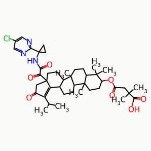 CC(C)C1=C2C3CCC4C(C)(CCC5C(C)(C)C(OC(=O)CC(C)(C)C(=O)O)CCC54C)C3CCC2(C(=O)C(=O)NC2(c3ncc(Cl)cn3)CC2)CC1=O